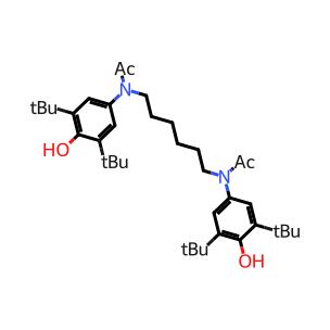 CC(=O)N(CCCCCCN(C(C)=O)c1cc(C(C)(C)C)c(O)c(C(C)(C)C)c1)c1cc(C(C)(C)C)c(O)c(C(C)(C)C)c1